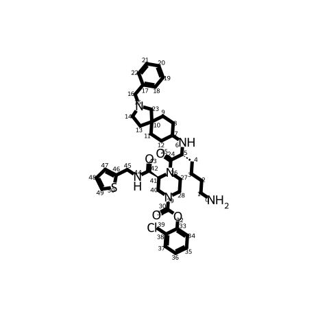 NCCCC[C@@H](NC1CCC2(CC1)CCN(Cc1ccccc1)C2)C(=O)N1CCN(C(=O)Oc2ccccc2Cl)C[C@H]1C(=O)NCc1cccs1